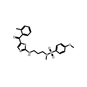 COc1ccc(S(=O)(=O)N(C)CCCNc2ncc(C(=O)c3ccccc3C)s2)cc1